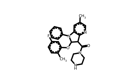 Cc1cnc2c(c1)N(c1ccccc1)C(Oc1cc(F)ccc1C)C2C(=O)N1CCNCC1